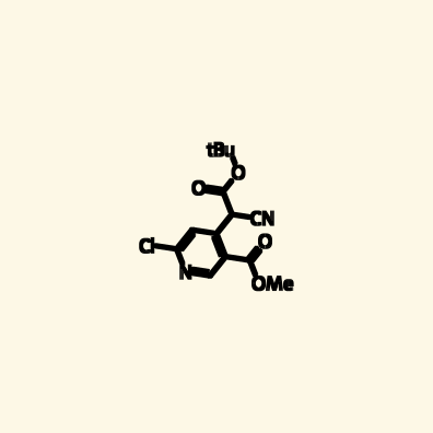 COC(=O)c1cnc(Cl)cc1C(C#N)C(=O)OC(C)(C)C